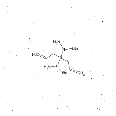 C=CC[Si](CC=C)(N(N)C(C)(C)C)N(N)C(C)(C)C